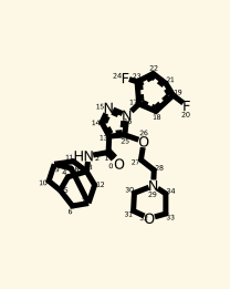 O=C(NC12CC3CC(CC(C3)C1)C2)c1cnn(-c2cc(F)ccc2F)c1OCCN1CCOCC1